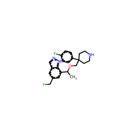 CC(OCC1(c2ccc(F)cc2)CCNCC1)c1cc(CF)cc2cn[nH]c12